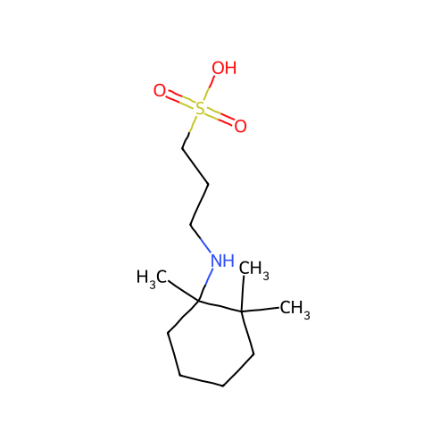 CC1(C)CCCCC1(C)NCCCS(=O)(=O)O